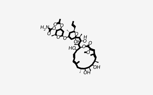 C/C=C/[C@H]1O[C@@](O)([C@@H](C)[C@H](O)[C@H](C)[C@H]2OC(=O)/C(OC)=C/C(C)=C/[C@@H](C)[C@@H](O)[C@@H](C)[C@@H](O)[C@H](C)C/C(C)=C/C=C/[C@@H]2O)C[C@@H](O[C@@H]2C[C@H](OC(C)=O)[C@@H](OC(N)=O)[C@H](C)O2)[C@@H]1C